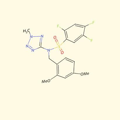 COc1ccc(CN(c2nnn(C)n2)S(=O)(=O)c2cc(F)c(F)cc2F)c(OC)c1